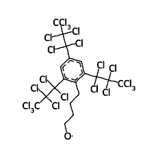 [O]CCCCc1c(C(Cl)(Cl)C(Cl)(Cl)C(Cl)(Cl)Cl)cc(C(Cl)(Cl)C(Cl)(Cl)C(Cl)(Cl)Cl)cc1C(Cl)(Cl)C(Cl)(Cl)C(Cl)(Cl)Cl